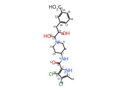 Cc1[nH]c(C(=O)NC2CCN(C(O)C(O)Cc3cccc(C(=O)O)c3)CC2)c(Cl)c1Cl